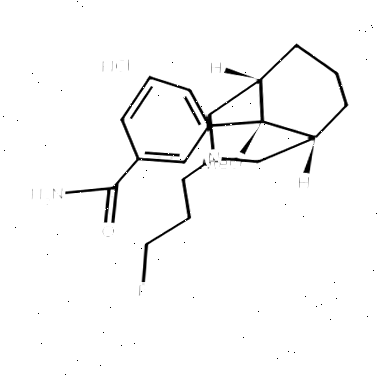 CO[C@]1(c2cccc(C(N)=O)c2)[C@@H]2CCC[C@H]1CN(CCCF)C2.Cl